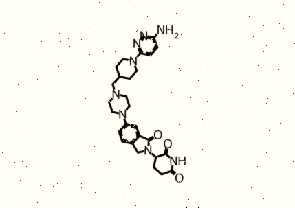 Nc1ccc(N2CCC(CN3CCN(c4ccc5c(c4)C(=O)N(C4CCC(=O)NC4=O)C5)CC3)CC2)nn1